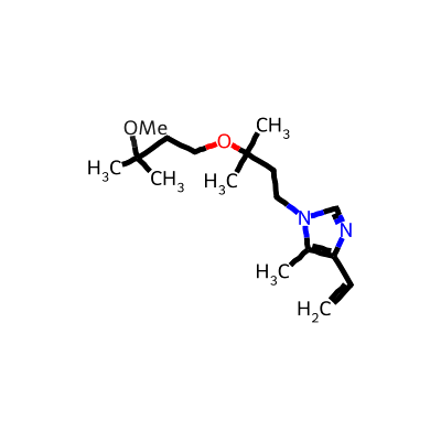 C=Cc1ncn(CCC(C)(C)OCCC(C)(C)OC)c1C